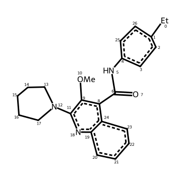 CCc1ccc(NC(=O)c2c(OC)c(N3CCCCC3)nc3ccccc23)cc1